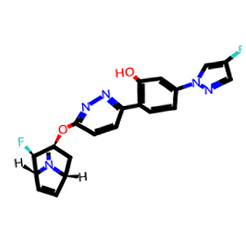 CN1[C@@H]2C=C[C@H]1C[C@H](Oc1ccc(-c3ccc(-n4cc(F)cn4)cc3O)nn1)[C@@H]2F